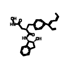 C=C/C(=C\C=C/C)c1ccc(C[C@H](CC(=O)NO)C(=O)N[C@H]2c3ccccc3C[C@H]2O)cc1